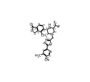 Cc1cc(-c2nnc(CN3CC(C(F)F)N[C@H](c4ccc5c(c4C)COC5=O)C3)o2)ncc1C#N